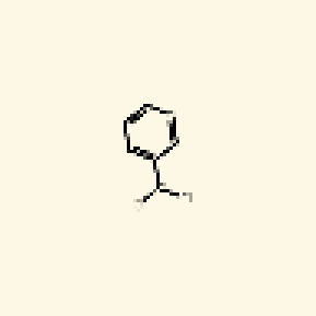 [O-][S+](Cl)c1cccnc1